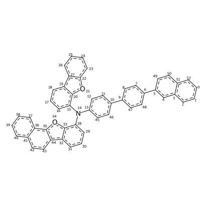 c1ccc2cc(-c3ccc(-c4ccc(N(c5cccc6c5oc5ccccc56)c5cccc6c5oc5c7ccccc7ccc65)cc4)cc3)ccc2c1